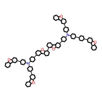 c1ccc2c(c1)oc1ccc(-c3ccc(-c4ccc(N(c5ccc(-c6ccc7oc8ccccc8c7c6)cc5)c5ccc(-c6ccc7oc8c(-c9cccc%10c9oc9ccc(-c%11ccc(N(c%12ccc(-c%13ccc%14oc%15ccccc%15c%14c%13)cc%12)c%12ccc(-c%13ccc%14oc%15ccccc%15c%14c%13)cc%12)cc%11)cc9%10)cccc8c7c6)cc5)cc4)cc3)cc12